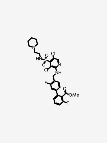 COC(=O)c1c(F)cccc1-c1ccc(CNc2ncc(Cl)c(S(=O)(=O)NCCN3CCCCC3)c2Cl)c(F)c1